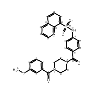 COc1cccc(C(=O)N2CCN(C(=O)c3ccc(NS(=O)(=O)c4cccc5cccnc45)cc3)CC2)c1